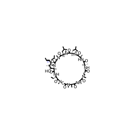 C/C=C/C[C@@H](C)[C@@H](O)[C@H]1C(=O)N[C@@H](CC)C(=O)N(C)CC(=O)N(C)C(C)C(=O)N[C@@H](C)C(=O)N(C)CC(=O)N[C@@H](C)C(=O)N[C@H](C)C(=O)N(C)[C@@H](CC(C)C)C(=O)N(C)[C@H](CC(C)C)C(=O)N(C)[C@@H](C(C)C)C(=O)N1C